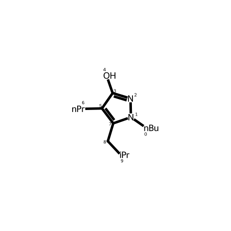 CCCCn1nc(O)c(CCC)c1CC(C)C